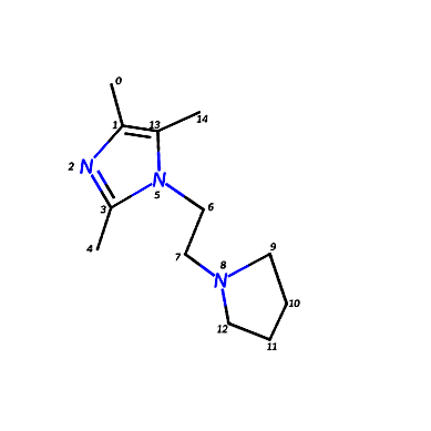 Cc1nc(C)n(CCN2CCCC2)c1C